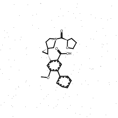 COc1cc([C@@H]2C[C@@]23CCN(C(=O)[C@H]2CCCO2)C3)c(C(=O)O)cc1-c1ccccc1